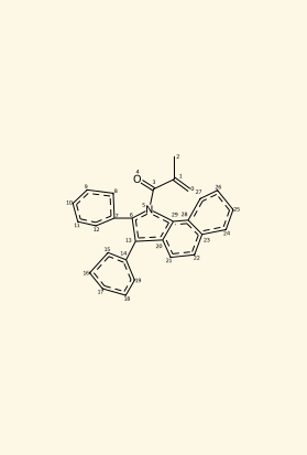 C=C(C)C(=O)n1c(-c2ccccc2)c(-c2ccccc2)c2ccc3ccccc3c21